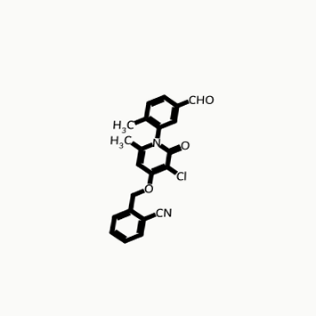 Cc1ccc(C=O)cc1-n1c(C)cc(OCc2ccccc2C#N)c(Cl)c1=O